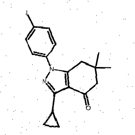 CC1(C)CC(=O)c2c(C3CC3)nn(-c3ccc(I)cc3)c2C1